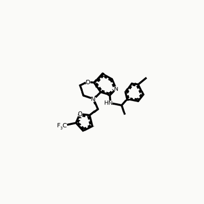 Cc1ccc(C(C)Nc2nccc3c2N(Cc2ccc(C(F)(F)F)o2)CCO3)cc1